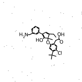 CCC1=CC(c2cccc(CN)c2)=C(O)C1(C)Oc1cc(C(C)(C)C)c(Cl)cc1CC(=O)O